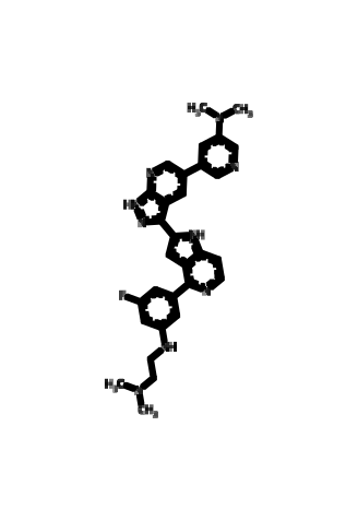 CN(C)CCNc1cc(F)cc(-c2nccc3[nH]c(-c4n[nH]c5ncc(-c6cncc(N(C)C)c6)cc45)cc23)c1